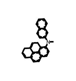 CN(c1ccc2ccccc2c1)c1ccc2ccc3c4c2c1CC=C4CC=C3